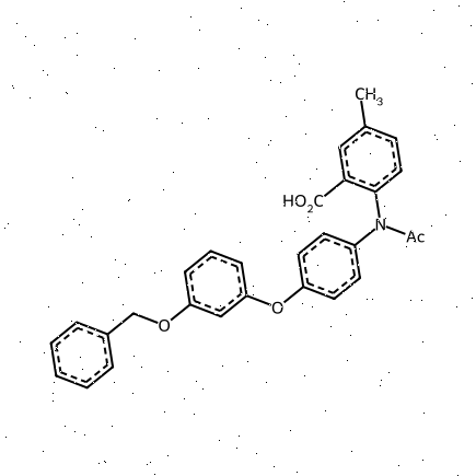 CC(=O)N(c1ccc(Oc2cccc(OCc3ccccc3)c2)cc1)c1ccc(C)cc1C(=O)O